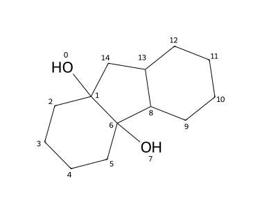 OC12CCCCC1(O)C1CCCCC1C2